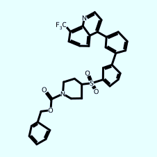 O=C(OCc1ccccc1)N1CCC(S(=O)(=O)c2cccc(-c3cccc(-c4ccnc5c(C(F)(F)F)cccc45)c3)c2)CC1